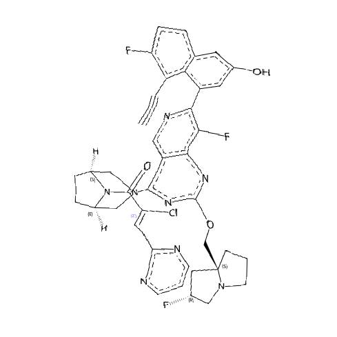 C#Cc1c(F)ccc2cc(O)cc(-c3ncc4c(N5C[C@H]6CC[C@@H](C5)N6C(=O)/C(Cl)=C/c5ncccn5)nc(OC[C@@]56CCCN5C[C@H](F)C6)nc4c3F)c12